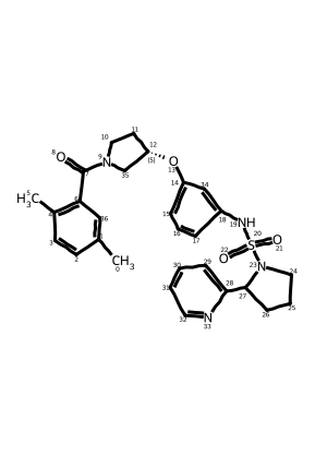 Cc1ccc(C)c(C(=O)N2CC[C@H](Oc3cccc(NS(=O)(=O)N4CCCC4c4ccccn4)c3)C2)c1